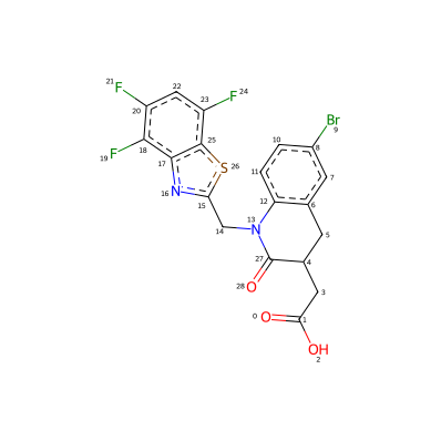 O=C(O)CC1Cc2cc(Br)ccc2N(Cc2nc3c(F)c(F)cc(F)c3s2)C1=O